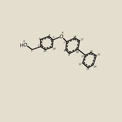 OCc1ccc(Oc2ccc(-c3ccccc3)cc2)cc1